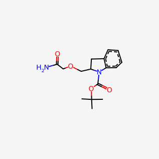 CC(C)(C)OC(=O)N1c2ccccc2CC1COCC(N)=O